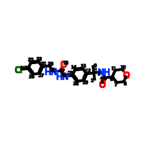 CC(C)(NC(=O)C1CCOCC1)c1ccc(NC(=O)NCc2ccc(Cl)cc2)cc1